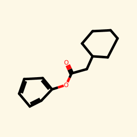 O=C(CC1CCCCC1)Oc1ccccc1